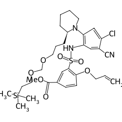 C=CCOc1ccc(C(=O)OC)cc1S(=O)(=O)Nc1cc(C#N)c(Cl)cc1N1CCCC[C@@H]1CCCOCOCC[Si](C)(C)C